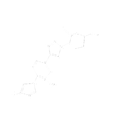 CCCCCC1CCC(n2cc(-c3ccc(-n4cnc(C)c4)c(OC)c3)nn2)C(=O)N1